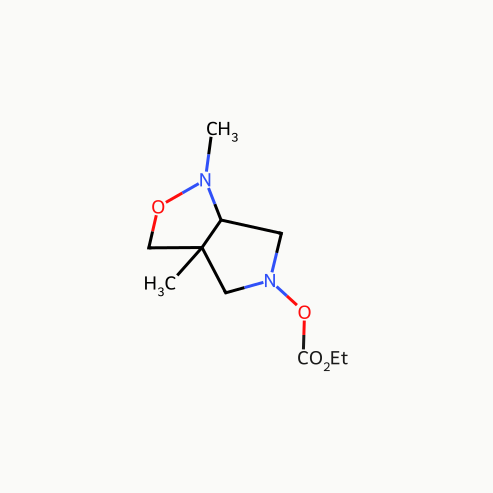 CCOC(=O)ON1CC2N(C)OCC2(C)C1